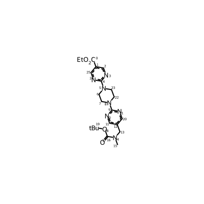 CCOC(=O)c1cnc(N2CCN(c3ncc(CN(C)C(=O)OC(C)(C)C)cn3)CC2)nc1